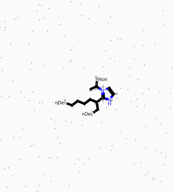 CCCCCCCCCCCCCCC(CCCCCCCCCCC)c1[nH]cc[n+]1C(C)CCCCCCCCC